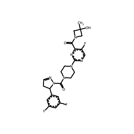 CC1(O)CN(C(=O)c2nc(N3CCN(C(=O)N4N=CCC4c4cc(F)cc(F)c4)CC3)ncc2F)C1